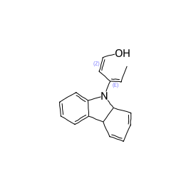 C/C=C(\C=C/O)N1c2ccccc2C2C=CC=CC21